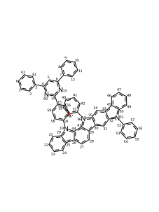 c1ccc(-c2cc(-c3ccccc3)nc(-c3ccc(-n4c5ccccc5c5ccc6c7cc8c(cc7n(-c7ccccc7)c6c54)c4ccccc4n8-c4ccccc4)cc3)n2)cc1